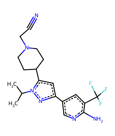 CC(C)n1nc(-c2cnc(N)c(C(F)(F)F)c2)cc1C1CCN(CC#N)CC1